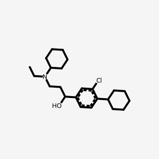 CCN(CCC(O)c1ccc(C2CCCCC2)c(Cl)c1)C1CCCCC1